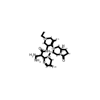 CCN1CC(F)=C(N2CCN3C(=O)CC[C@@H]3C2)C(NC(=O)C(C(N)N)C2N=CC(F)CN2C)C1